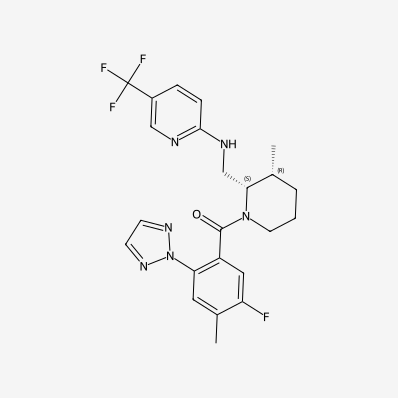 Cc1cc(-n2nccn2)c(C(=O)N2CCC[C@@H](C)[C@H]2CNc2ccc(C(F)(F)F)cn2)cc1F